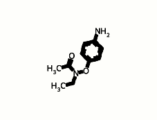 CCN(Oc1ccc(N)cc1)C(C)=O